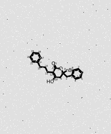 CCCCC1(Cc2ccccc2)CC(O)=C(CCCc2ccccc2)C(=O)O1